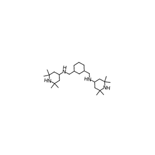 CC1(C)CC(NCC2CCCC(CNC3CC(C)(C)NC(C)(C)C3)C2)CC(C)(C)N1